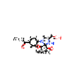 COC(=O)c1ccc(N2CC(CO)NC2(C(=O)OC)C(=O)OC)cc1